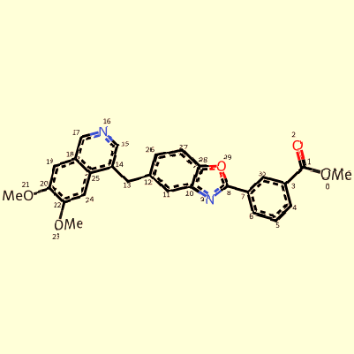 COC(=O)c1cccc(-c2nc3cc(Cc4cncc5cc(OC)c(OC)cc45)ccc3o2)c1